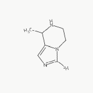 [2H]c1ncc2n1CCNC2C